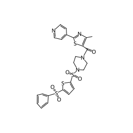 Cc1nc(-c2ccncc2)sc1C(=O)N1CCN(S(=O)(=O)c2ccc(S(=O)(=O)c3ccccc3)s2)CC1